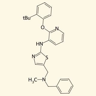 CN(Cc1ccccc1)Cc1cnc(Nc2cccnc2Oc2ccccc2C(C)(C)C)s1